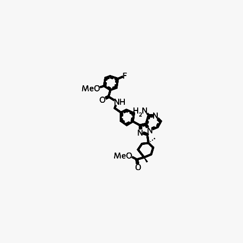 COc1ccc(F)cc1C(=O)NCc1ccc(-c2nc([C@]3(C)CC[C@@](C)(C(=O)OC)CC3)n3ccnc(N)c23)cc1